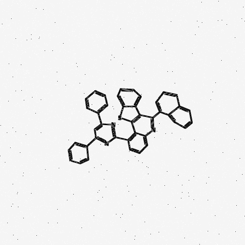 c1ccc(-c2cc(-c3ccccc3)nc(-c3cccc4nc(-c5cccc6ccccc56)c5c6ccccc6sc5c34)n2)cc1